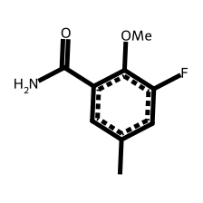 COc1c(F)cc(C)cc1C(N)=O